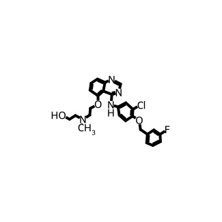 CN(CCO)CCOc1cccc2ncnc(Nc3ccc(OCc4cccc(F)c4)c(Cl)c3)c12